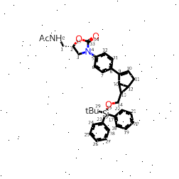 CC(=O)NC[C@H]1CN(c2ccc(C3=CCC4C(CO[Si](c5ccccc5)(c5ccccc5)C(C)(C)C)C34)cc2)C(=O)O1